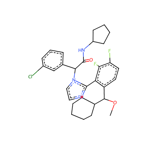 COC(c1ccc(F)c(F)c1-c1nccn1C(C(=O)NC1CCCC1)c1cccc(Cl)c1)C1CCCCC1